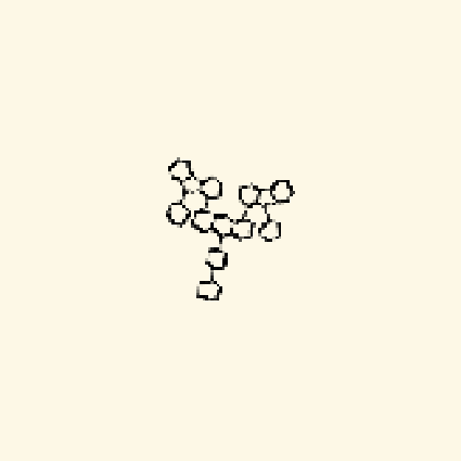 c1ccc(-c2ccc(-c3c4cccc(-c5cccc6c7ccccc7p(-c7ccccc7)c56)c4cc4c(-c5cccc6c7ccccc7p(-c7ccccc7)c56)cccc34)cc2)cc1